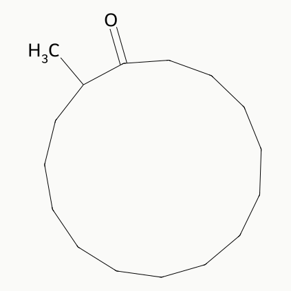 CC1CCCCCCCCCCCCCC1=O